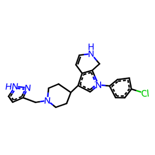 Clc1ccc(-n2cc(C3CCN(Cc4cc[nH]n4)CC3)c3c2CNC=C3)cc1